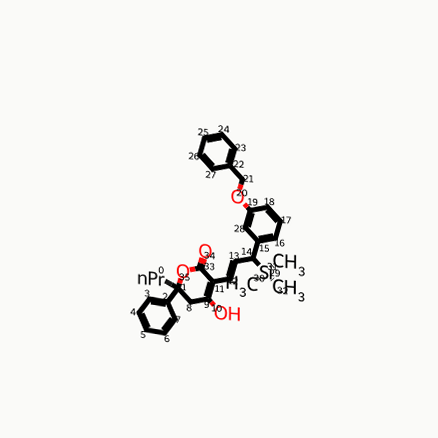 CCCC1(c2ccccc2)CC(O)=C(C=CC(c2cccc(OCc3ccccc3)c2)[Si](C)(C)C)C(=O)O1